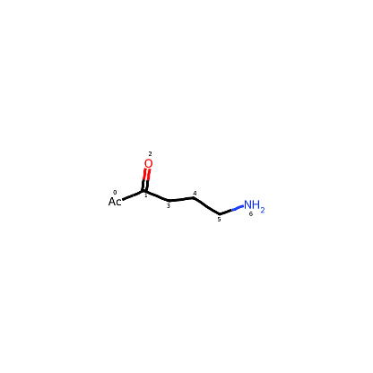 CC(=O)C(=O)CCCN